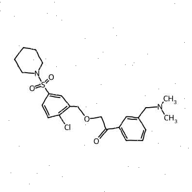 CN(C)Cc1cccc(C(=O)COCc2cc(S(=O)(=O)N3CCCCC3)ccc2Cl)c1